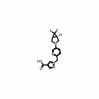 O=C(O)c1cnn(Cc2ccc(N3CC4[C@H](C3)C4(F)F)cn2)c1